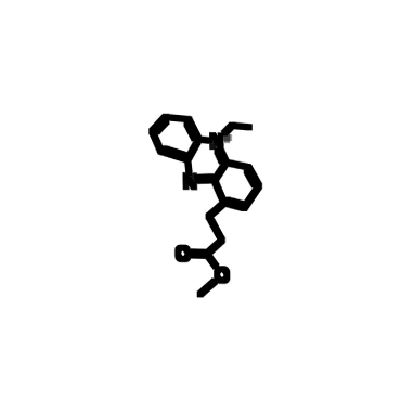 CC[n+]1c2ccccc2nc2c(CCC(=O)OC)cccc21